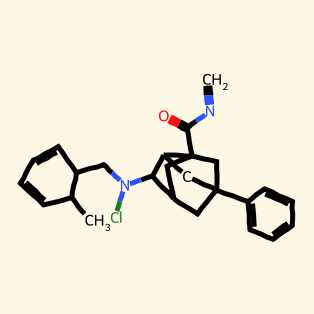 C=NC(=O)C12CC3CC(c4ccccc4)(CC1C3N(Cl)CC1C=CC=CC1C)C2